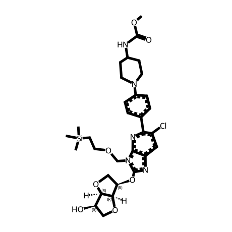 COC(=O)NC1CCN(c2ccc(-c3nc4c(cc3Cl)nc(O[C@@H]3CO[C@H]5[C@@H]3OC[C@H]5O)n4COCC[Si](C)(C)C)cc2)CC1